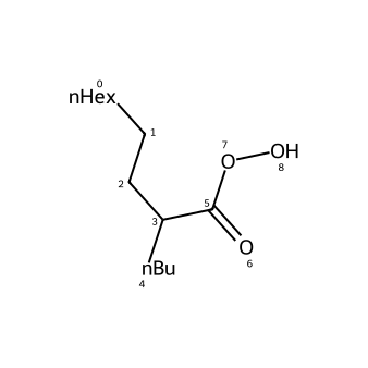 CCCCCCCCC(CCCC)C(=O)OO